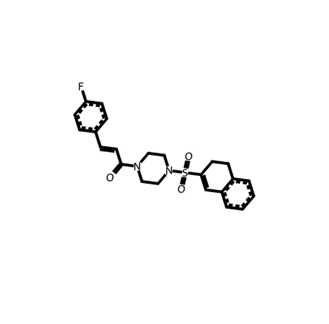 O=C(C=Cc1ccc(F)cc1)N1CCN(S(=O)(=O)C2=Cc3ccccc3CC2)CC1